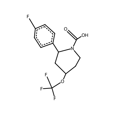 O=C(O)N1CCC(OC(F)(F)F)CC1c1ccc(F)cc1